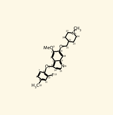 COc1cc2c(Oc3ccc(C)cc3F)ccnc2cc1OCC1CCN(C)CC1